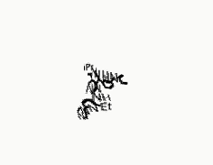 C=CC(=C)Nc1cccc(C2=NN(C(C)C)C(=C)c3cnc(Nc4ccc(N5CCN(C)CC5)nc4CC)nc32)c1